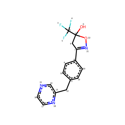 OC1(C(F)(F)F)CC(c2ccc(Cc3cnccn3)cc2)=NO1